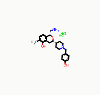 Cc1ccc2c(c1O)C[C@@H](C1CCN(Cc3ccc(O)cc3)CC1)O[C@H]2CN.Cl.Cl